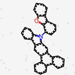 c1ccc2c(c1)oc1c(-n3c4ccccc4c4cc5c6ccccc6c6ccccc6c5cc43)cccc12